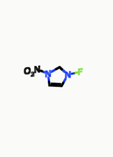 O=[N+]([O-])N1C=CN(F)C1